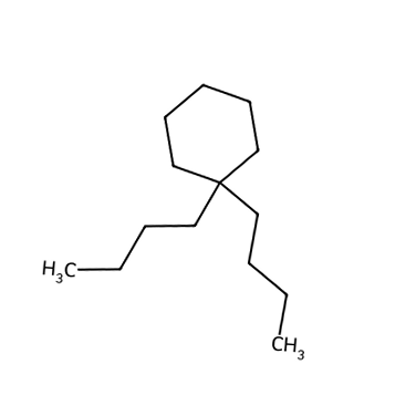 CCCCC1(CCCC)CCCCC1